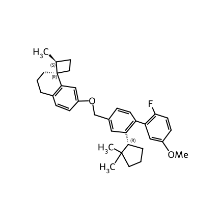 COc1ccc(F)c(-c2ccc(COc3ccc4c(c3)[C@]3(CCC4)CC[C@@H]3C)cc2[C@@H]2CCCC2(C)C)c1